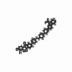 O=C1CCC(N2C(=O)c3ccc(N4CCN(CCC5CCN(C6CCN(c7ccc8c9cnccc9n(C(F)F)c8c7)CC6)CC5)CC4)cc3C2=O)C(=O)N1